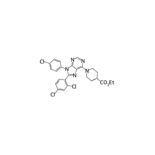 CCOC(=O)C1CCN(c2ncnc3c2nc(-c2ccc(Cl)cc2Cl)n3-c2ccc(Cl)cc2)CC1